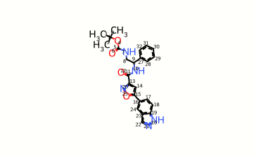 CC(C)(C)OC(=O)NCC(NC(=O)c1cc(-c2ccc3[nH]ncc3c2)on1)c1ccccc1